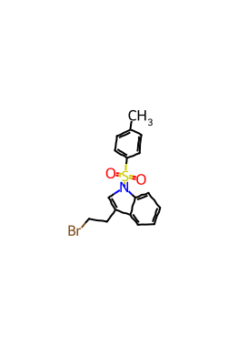 Cc1ccc(S(=O)(=O)n2cc(CCBr)c3ccccc32)cc1